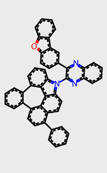 c1ccc(-c2ccc3c4c2ccc2c4c4c(cccc4n2-c2nc4ccccc4nc2-c2ccc4oc5ccccc5c4c2)-c2ccccc2-3)cc1